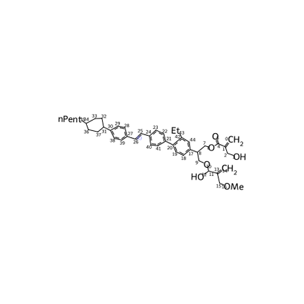 C=C(CO)C(=O)OCC(COC(O)C(=C)COC)c1ccc(-c2ccc(/C=C/c3ccc(C4CCC(CCCCC)CC4)cc3)cc2)c(CC)c1